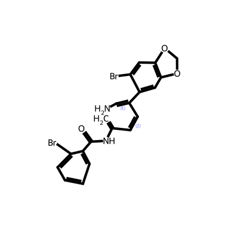 C=C(/C=C\C(=C/N)c1cc2c(cc1Br)OCO2)NC(=O)c1ccccc1Br